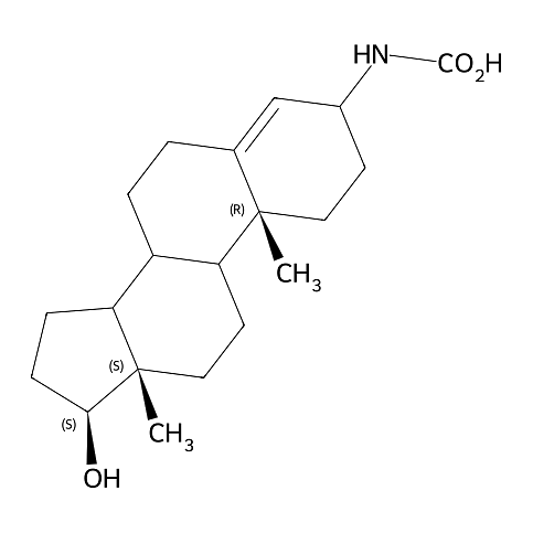 C[C@]12CCC(NC(=O)O)C=C1CCC1C2CC[C@@]2(C)C1CC[C@@H]2O